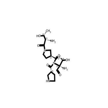 C[C@@H](O)[C@H](N)C(=O)N1CC[C@H](C(=O)N(C(=O)[C@@H]2CCNC2)[C@](N)(C=O)[C@@H](C)O)C1